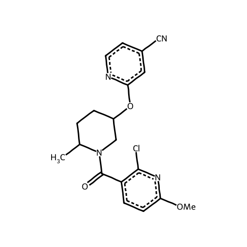 COc1ccc(C(=O)N2CC(Oc3cc(C#N)ccn3)CCC2C)c(Cl)n1